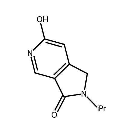 CC(C)N1Cc2cc(O)ncc2C1=O